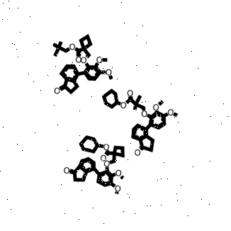 COc1ccc(-c2cccc3c2CCC3=O)c(OCC(C)(C)C(=O)OC2CCCCC2)c1OC.COc1ccc(-c2cccc3c2CCC3=O)c(OCC2(C(=O)OC3CCCCC3)CCC2)c1OC.COc1ccc(-c2cccc3c2CCC3=O)c(OCC2(C(=O)OCC(C)(C)C)CCC2)c1OC